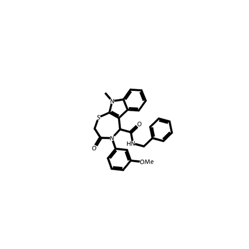 COc1cccc(N2C(=O)CSc3c(c4ccccc4n3C)C2C(=O)NCc2ccccc2)c1